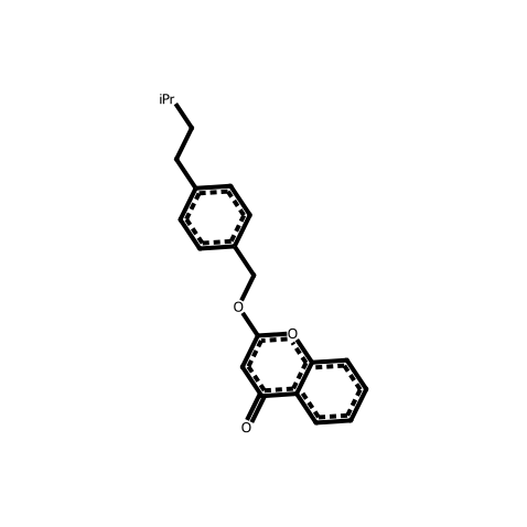 CC(C)CCc1ccc(COc2cc(=O)c3ccccc3o2)cc1